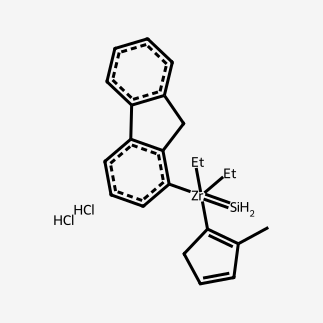 C[CH2][Zr](=[SiH2])([CH2]C)([C]1=C(C)C=CC1)[c]1cccc2c1Cc1ccccc1-2.Cl.Cl